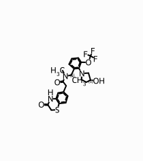 C[C@@H](c1cccc(OC(F)(F)F)c1N1CC[C@H](O)C1)N(C)C(=O)Cc1ccc2c(c1)NC(=O)CS2